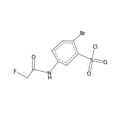 O=C(CF)Nc1ccc(Br)c(S(=O)(=O)Cl)c1